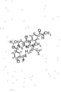 CNC(=O)c1ccc(-n2c(N(C)[C@@H](C)C3CC3)nc3c(c2=O)C[C@@H](C)N(C(=O)c2ccc(Cl)c(C(F)F)c2)C3)cc1